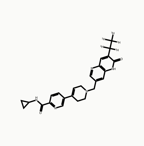 [2H]C([2H])([2H])C([2H])([2H])c1cc2ncc(CN3CC=C(c4ccc(C(=O)NC5CC5)nc4)CC3)cc2[nH]c1=O